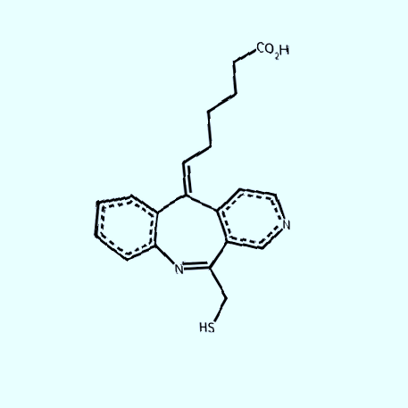 O=C(O)CCCCC=C1c2ccccc2N=C(CS)c2cnccc21